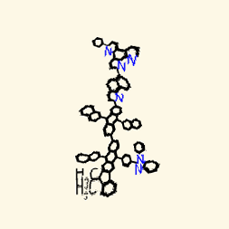 CC1(C)c2ccccc2-c2cc3c(-c4ccc(-c5nc6ccccc6n5-c5ccccc5)cc4)c4ccc(-c5ccc6c(-c7ccc8ccccc8c7)c7cc(-c8ccc9ccc%10c(-c%11ccc%12c%13nc(-c%14ccccc%14)ccc%13c%13cccnc%13c%12n%11)cccc%10c9n8)ccc7c(-c7ccc8ccccc8c7)c6c5)cc4c(-c4ccc5ccccc5c4)c3cc21